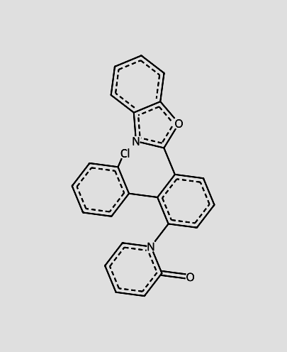 O=c1ccccn1-c1cccc(-c2nc3ccccc3o2)c1-c1ccccc1Cl